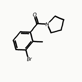 Cc1c(Br)cccc1C(=O)N1CCCC1